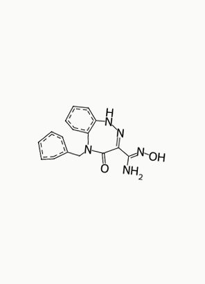 N/C(=N\O)C1=NNc2ccccc2N(Cc2ccccc2)C1=O